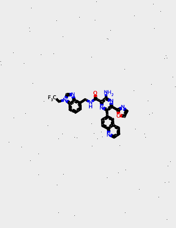 Nc1nc(-c2ncco2)c(-c2ccc3ncccc3c2)nc1C(=O)NCc1cccc2c1ncn2CC(F)(F)F